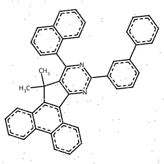 CC1(C)c2c(-c3cccc4ccccc34)nc(-c3cccc(-c4ccccc4)c3)nc2-c2c1c1ccccc1c1ccccc21